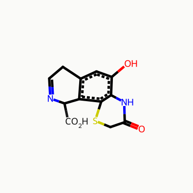 O=C1CSc2c(c(O)cc3c2C(C(=O)O)N=CC3)N1